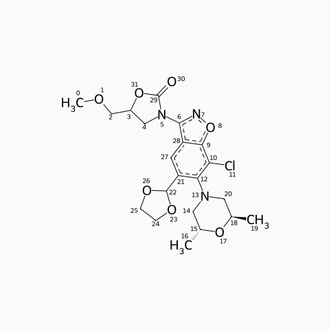 COCC1CN(c2noc3c(Cl)c(N4C[C@@H](C)O[C@H](C)C4)c(C4OCCO4)cc23)C(=O)O1